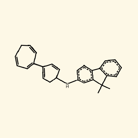 CC1(C)c2ccccc2-c2ccc(NC3C=CC(C4=CC=CCC=C4)=CC3)cc21